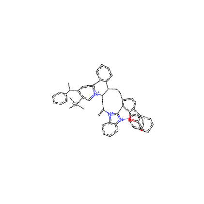 C=C1CC2C(CCc3ccc4c(oc5ccccc54)c3-c3n(-c4ccccc4)c4ccccc4[n+]31)c1ccccc1-c1cc(C(C)c3ccccc3)c([Si](C)(C)C)c[n+]12